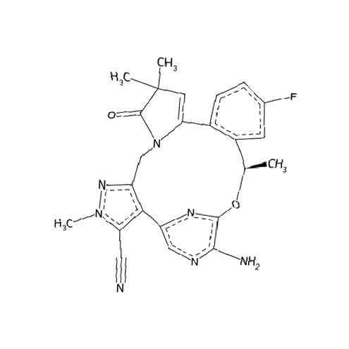 C[C@H]1Oc2nc(cnc2N)-c2c(nn(C)c2C#N)CN2C(=O)C(C)(C)C=C2c2ccc(F)cc21